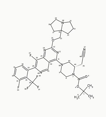 CC(C)(C)OC(=O)N1CCN(c2nc(OCC34CCCN3CCC4)nc3c(F)c(-c4cccc(F)c4C(F)(F)F)ncc23)C[C@@H]1CC#N